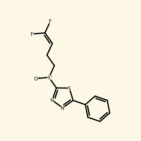 [O-][S+](CCC=C(F)F)c1nnc(-c2ccccc2)s1